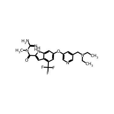 CCN(CC)Cc1cncc(Oc2cc(C(F)(F)F)c3cc(C(=O)N(C)C(=N)N)[nH]c3c2)c1